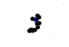 CC1(C)c2ccc(-c3cccc(-c4ccc(-c5cc(-c6cccc7ccccc67)nc(-c6ccccc6)n5)c5ccccc45)c3)cc2-c2ccc3ccccc3c21